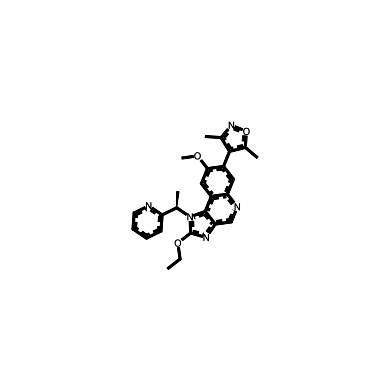 CCOc1nc2cnc3cc(-c4c(C)noc4C)c(OC)cc3c2n1[C@H](C)c1ccccn1